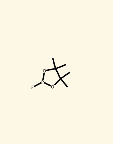 CC1(C)OP(F)OC1(C)C